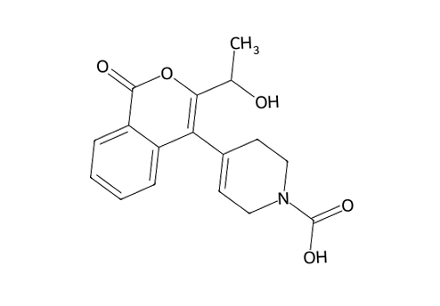 CC(O)c1oc(=O)c2ccccc2c1C1=CCN(C(=O)O)CC1